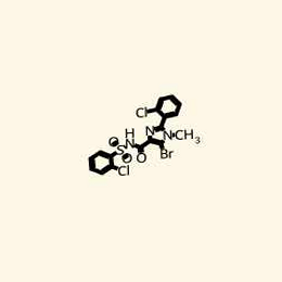 Cn1c(-c2ccccc2Cl)nc(C(=O)NS(=O)(=O)c2ccccc2Cl)c1Br